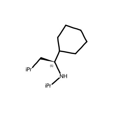 CC(C)C[C@H](NC(C)C)C1CCCCC1